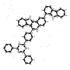 c1ccc(-c2nc(-c3ccccc3)nc(-c3ccc(-c4nc5ccc(-c6cccc7c6oc6ccccc67)cc5c5oc6ccccc6c45)cc3)n2)cc1